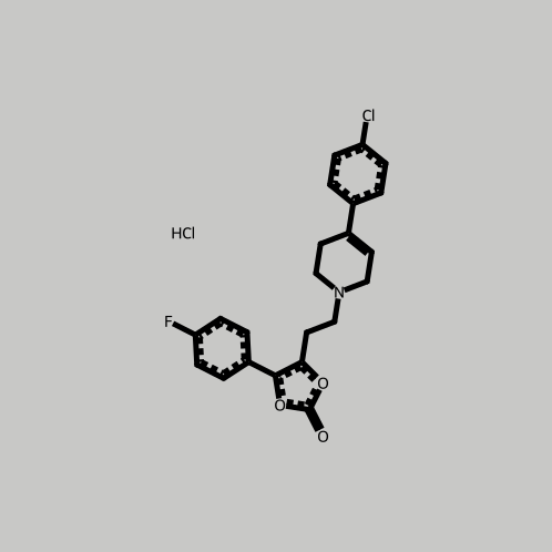 Cl.O=c1oc(CCN2CC=C(c3ccc(Cl)cc3)CC2)c(-c2ccc(F)cc2)o1